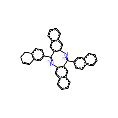 C1=Cc2cc(/C3=N/c4cc5ccccc5cc4/C(c4ccc5ccccc5c4)=N\c4cc5ccccc5cc43)ccc2CC1